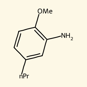 CCCc1ccc(OC)c(N)c1